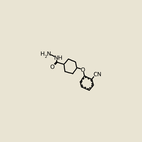 N#Cc1ccccc1OC1CCC(C(=O)NN)CC1